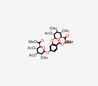 CCCCOC(=O)c1ccc(O[C@@H]2O[C@H](C(=O)OC)[C@@H](OC(C)=O)[C@H](OC(C)=O)[C@H]2OC(C)=O)cc1O[C@@H]1O[C@H](C(=O)OC)[C@@H](OC(C)=O)[C@H](OC(C)=O)[C@H]1OC(C)=O